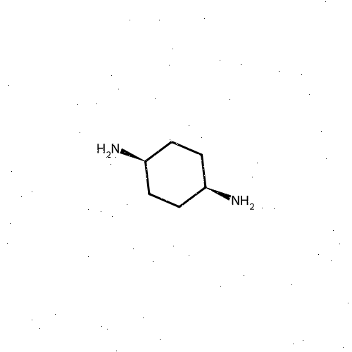 N[C@H]1CC[C@@H](N)CC1